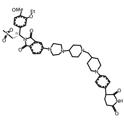 CCOc1cc([C@@H](CS(C)(=O)=O)N2C(=O)c3ccc(N4CCN(C5CCN(CC6CCN(c7ccc(C8CCC(=O)NC8=O)cc7)CC6)CC5)CC4)cc3C2=O)ccc1OC